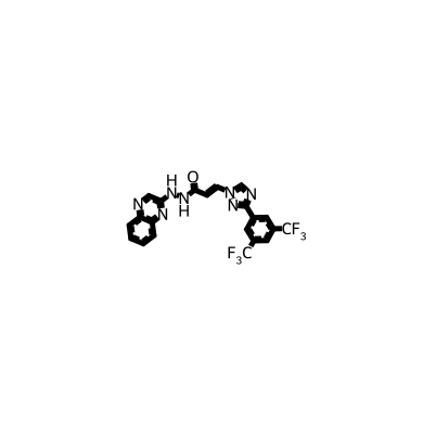 O=C(C=Cn1cnc(-c2cc(C(F)(F)F)cc(C(F)(F)F)c2)n1)NNc1cnc2ccccc2n1